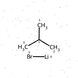 C[C](C)C.[Li][Br]